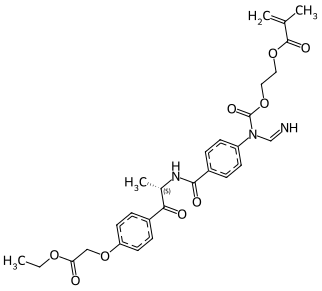 C=C(C)C(=O)OCCOC(=O)N(C=N)c1ccc(C(=O)N[C@@H](C)C(=O)c2ccc(OCC(=O)OCC)cc2)cc1